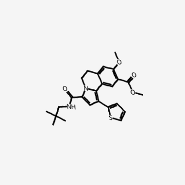 COC(=O)c1cc2c(cc1OC)CCn1c(C(=O)NCC(C)(C)C)cc(-c3cccs3)c1-2